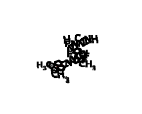 COc1ccc(CN(Cc2ccc(OC)cc2)c2cc(C)c(C(F)(F)F)c(-c3c(Cl)cc4c(N5CCNC[C@@H]5C)nc(F)nc4c3F)n2)cc1